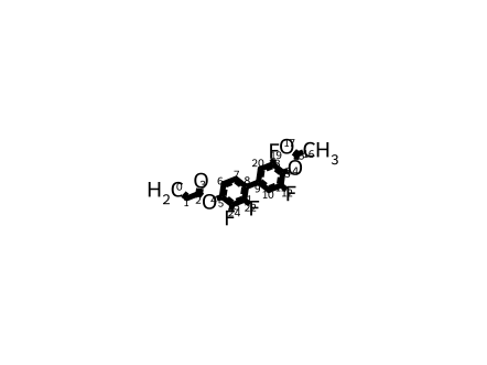 C=CC(=O)Oc1ccc(-c2cc(F)c(OC(C)=O)c(F)c2)c(F)c1F